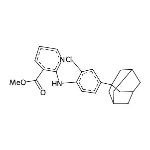 COC(=O)c1cccnc1Nc1ccc(C23CC4CC(CC(C4)C2)C3)cc1Cl